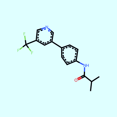 CC(C)C(=O)Nc1ccc(-c2cncc(C(F)(F)F)c2)cc1